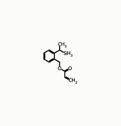 C=CC(=O)OCc1ccccc1C(C)[SiH3]